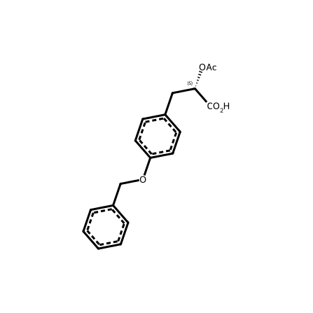 CC(=O)O[C@@H](Cc1ccc(OCc2ccccc2)cc1)C(=O)O